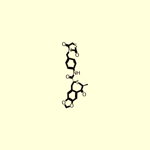 C[C@@H]1S[C@@H](C(=O)Nc2ccc(CN3C(=O)CSC3=O)cc2)Cc2cc3c(cc2C1=O)OCO3